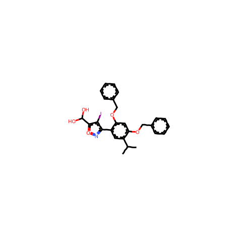 CC(C)c1cc(-c2noc(C(O)O)c2I)c(OCc2ccccc2)cc1OCc1ccccc1